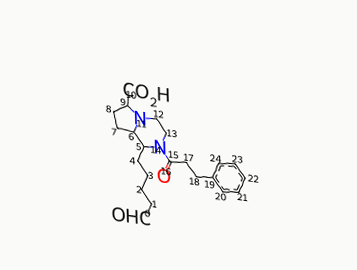 O=CCCCCC1C2CCC(C(=O)O)N2CCN1C(=O)CCc1ccccc1